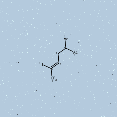 CC(=O)C(C/C=C(\I)C(F)(F)F)C(C)=O